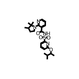 CC(C)C(C)Oc1cccc(S(=O)(=O)NC(=O)c2cccnc2N2CCC(C)C2(C)C)n1